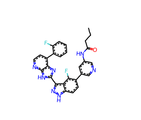 CCCC(=O)Nc1cncc(-c2ccc3[nH]nc(-c4nc5c(-c6ccccc6F)ccnc5[nH]4)c3c2F)c1